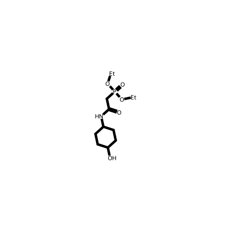 CCOP(=O)(CC(=O)NC1CCC(O)CC1)OCC